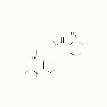 CCN[C@H]1C(CC(C)(C)N[C@H]2CCCC[C@@H]2NC)CCC[C@@H]1NC(C)C